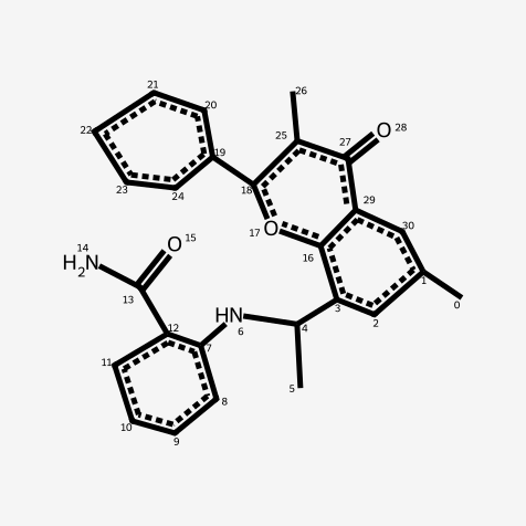 Cc1cc(C(C)Nc2ccccc2C(N)=O)c2oc(-c3ccccc3)c(C)c(=O)c2c1